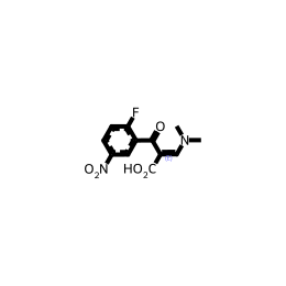 CN(C)/C=C(/C(=O)O)C(=O)c1cc([N+](=O)[O-])ccc1F